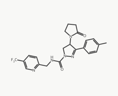 Cc1ccc(C2=NN(C(=O)NCc3ccc(C(F)(F)F)cn3)CC2N2CCCC2=O)cc1